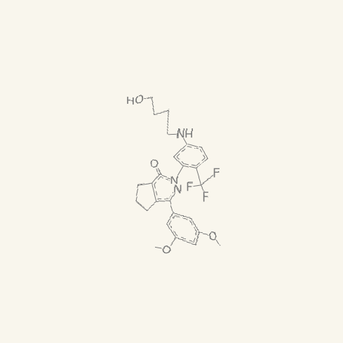 COc1cc(OC)cc(-c2nn(-c3cc(NCCCCO)ccc3C(F)(F)F)c(=O)c3c2CCC3)c1